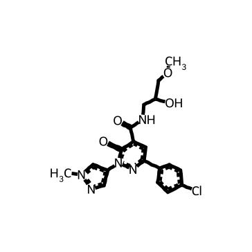 COCC(O)CNC(=O)c1cc(-c2ccc(Cl)cc2)nn(-c2cnn(C)c2)c1=O